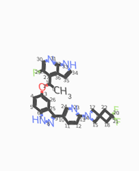 CC(Oc1ccc2[nH]nc(-c3ccc(N4CC5(C4)CC(F)(F)C5)nc3)c2c1)c1c(F)cnc2[nH]ccc12